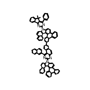 CC1(C)c2ccccc2-c2nc(-n3c4ccc5ccccc5c4c4c5c(ccc43)c3ccccc3c3cc(-c4ccc6c(ccc7nc(-n8c9ccc%10ccccc%10c9c9c%10c%11ccccc%11c%11ccccc%11c%10ccc98)nc(-c8ccc9ccccc9c8)c76)c4)ccc35)nc(-c3ccccc3)c21